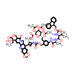 CC[C@@]1(O)C(=O)OCc2c1cc1n(c2=O)Cc2c-1nc1cc3c(cc1c2C12CC(NC(=O)OCc4ccc(NC(=O)[C@H](C)NC(=O)[C@@H](NC(=O)OCC5c6ccccc6-c6ccccc65)C(C)C)cc4CC[C@@H]4O[C@H](C(=O)OC)[C@@H](OC(C)=O)[C@H](OC(C)=O)[C@H]4OC(C)=O)(C1)C2)OCO3